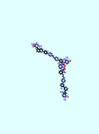 C[C@@H]1CNc2c(sc3ccc4nc(-c5ccc(N6CCN(CCC7CCN(c8ccc9c(c8)n(N8C(=O)CCC(n%10c(=O)n(C)c%11c(CCCN%12CCN(c%13ccc(F)c(-c%14cc(-c%15cc%16c([nH]%15)CCNC%16=O)ccn%14)c%13)CC%12)cccc%11%10)C8=O)c(=O)n9C8CCC(=O)NC8=O)CC7)CC6)cc5)ccc4c23)C(=O)N1